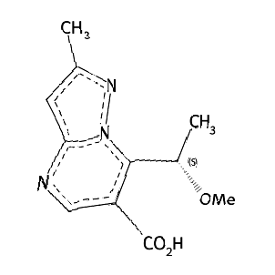 CO[C@@H](C)c1c(C(=O)O)cnc2cc(C)nn12